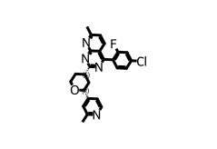 Cc1cc([C@H]2C[C@@H](c3nc(-c4ccc(Cl)cc4F)c4ccc(C)nc4n3)CCO2)ccn1